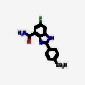 NC(=O)c1cc(F)cc2[nH]c(-c3ccc(C(=O)O)cc3)nc12